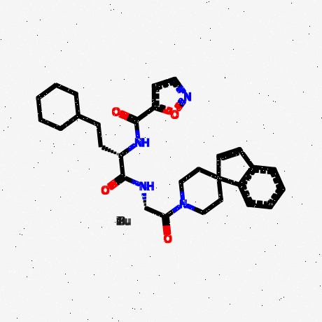 CC[C@H](C)[C@H](NC(=O)[C@H](CCC1CCCCC1)NC(=O)c1ccno1)C(=O)N1CCC2(C=Cc3ccccc32)CC1